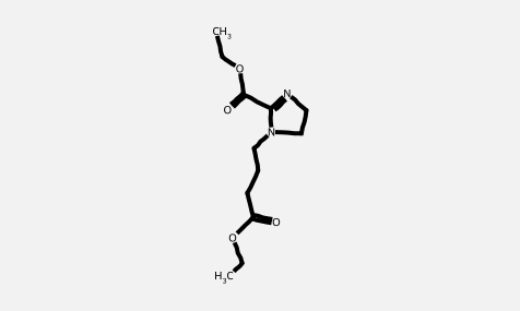 CCOC(=O)CCCN1CCN=C1C(=O)OCC